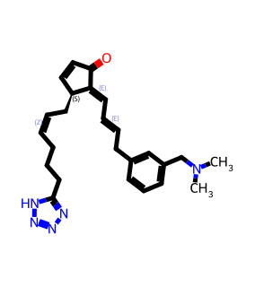 CN(C)Cc1cccc(C/C=C/C=C2/C(=O)C=C[C@@H]2C/C=C\CCCc2nnn[nH]2)c1